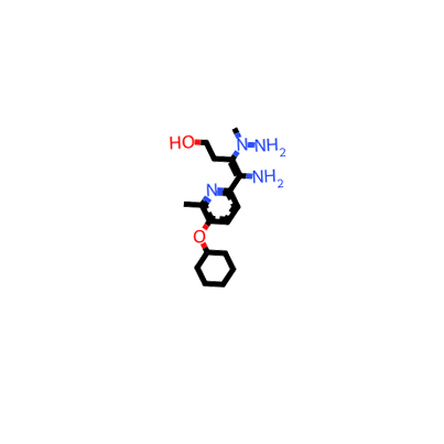 Cc1nc(/C(N)=C(\CCO)N(C)N)ccc1OC1CCCCC1